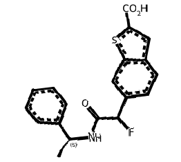 C[C@H](NC(=O)C(F)c1ccc2cc(C(=O)O)sc2c1)c1ccccc1